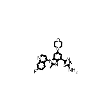 Cc1nc2c(-c3nnc(N)s3)cc(N3CCOCC3)cc2n1-c1ccnc2cc(F)ccc12